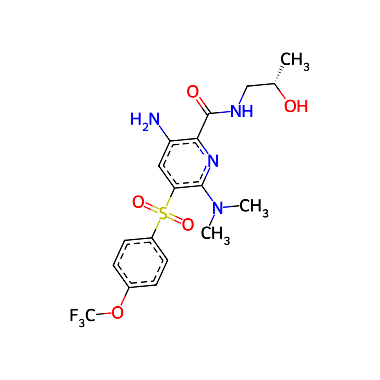 C[C@H](O)CNC(=O)c1nc(N(C)C)c(S(=O)(=O)c2ccc(OC(F)(F)F)cc2)cc1N